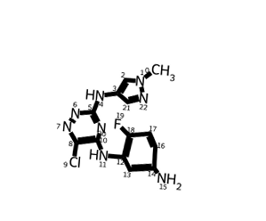 Cn1cc(Nc2nnc(Cl)c(Nc3cc(N)ccc3F)n2)cn1